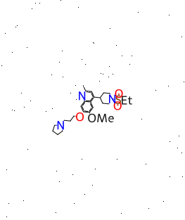 CCS(=O)(=O)N1CCC(c2cc(C)nc3cc(OCCCN4CCCC4)c(OC)cc23)CC1